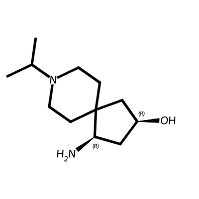 CC(C)N1CCC2(CC1)C[C@@H](O)C[C@H]2N